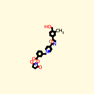 Cc1cc(-c2cnc(-c3cc[n+](Cc4cccc(C(=O)ON5C(=O)CCC5=O)c4)cc3)o2)ccc1CO